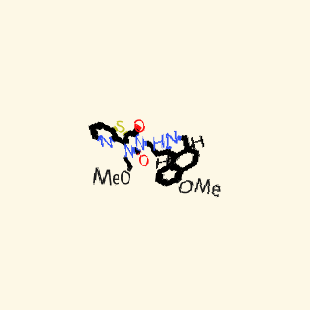 COCCn1c(=O)n(CCC2NC[C@@H]3CCc4c(OC)cccc4[C@H]23)c(=O)c2sc3cccnc3c21